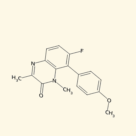 COc1ccc(-c2c(F)ccc3nc(C)c(=O)n(C)c23)cc1